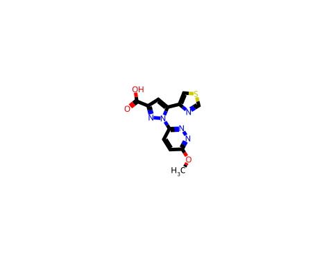 COc1ccc(-n2nc(C(=O)O)cc2-c2cscn2)nn1